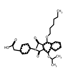 CCCCCCOc1c2c(c(OC(C)C)c3ccccc13)C(=O)N(c1ccc(CC(=O)O)cc1)C2=O